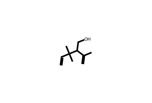 C=CC(C)(C)C(CO)C(=C)C